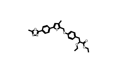 CCOC(=O)C(Cc1ccc(OCc2sc(-c3ccc(-c4nnc(C)o4)cc3)cc2C)cc1)OCC